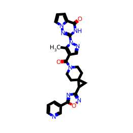 Cc1c(C(=O)N2CCC3(CC2)CC3c2noc(-c3cccnc3)n2)cnn1-c1nn2cccc2c(=O)[nH]1